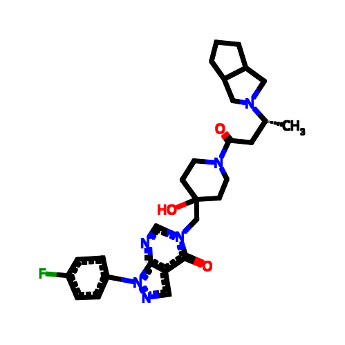 C[C@H](CC(=O)N1CCC(O)(Cn2cnc3c(cnn3-c3ccc(F)cc3)c2=O)CC1)N1CC2CCCC2C1